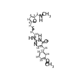 CNCc1ccc(CSCCNc2ncc(Cc3cccc(OC)c3)c(=O)[nH]2)o1